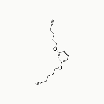 C#CCCCCOc1[c]ccc(OCCCCC#C)c1